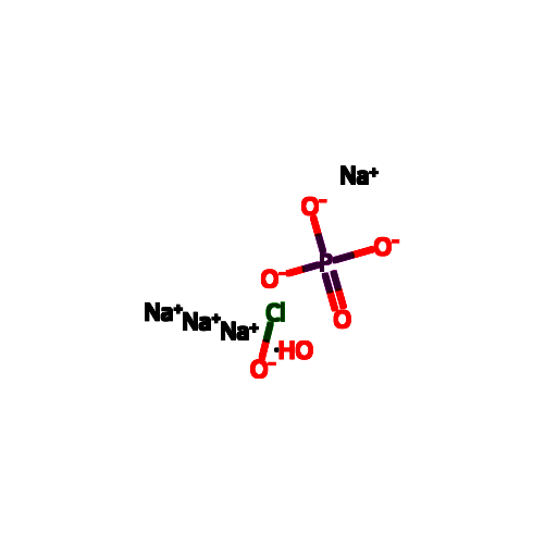 O=P([O-])([O-])[O-].[Na+].[Na+].[Na+].[Na+].[O-]Cl.[OH]